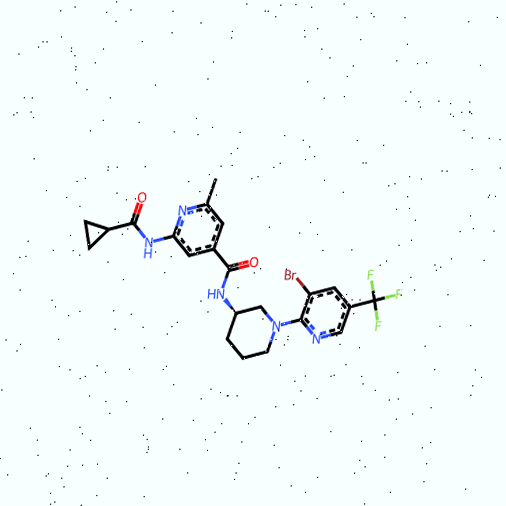 Cc1cc(C(=O)N[C@@H]2CCCN(c3ncc(C(F)(F)F)cc3Br)C2)cc(NC(=O)C2CC2)n1